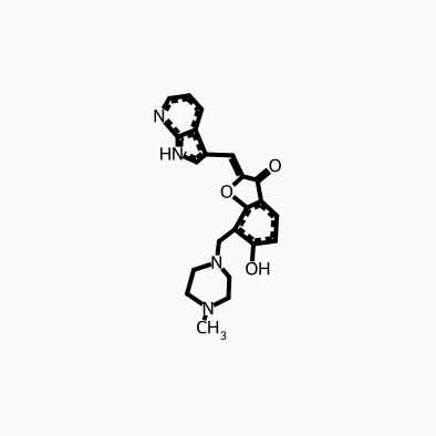 CN1CCN(Cc2c(O)ccc3c2O/C(=C\c2c[nH]c4ncccc24)C3=O)CC1